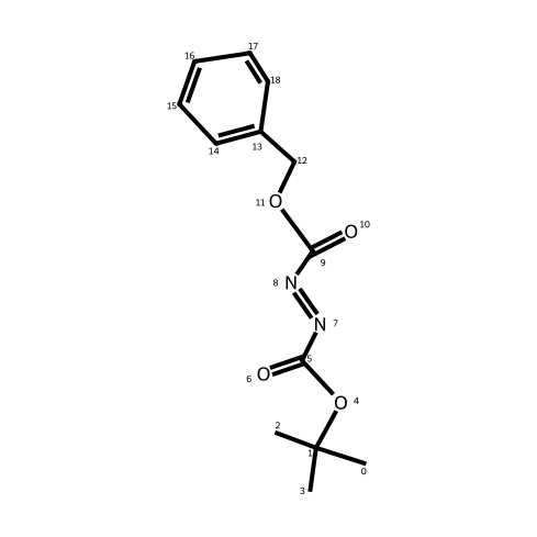 CC(C)(C)OC(=O)N=NC(=O)OCc1ccccc1